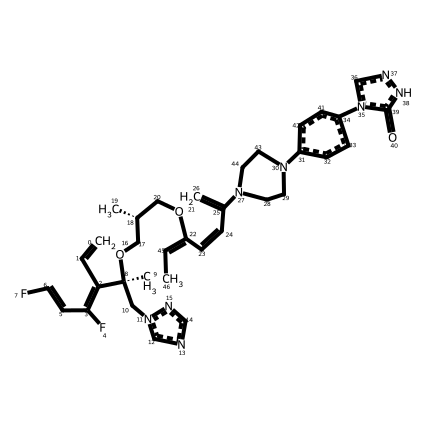 C=C/C(=C(F)\C=C\F)[C@](C)(Cn1cncn1)OC[C@H](C)COC(/C=C\C(=C)N1CCN(c2ccc(-n3cn[nH]c3=O)cc2)CC1)=C/C